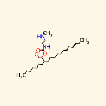 CCC=CCC=CCCCCCC(CCCCCCC)C(C=O)OC(=O)NCCNC